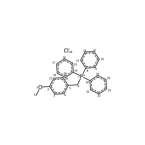 COc1ccc(C[P+](c2ccccc2)(c2ccccc2)c2ccccc2)cc1.[Cl-]